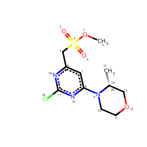 COS(=O)(=O)Cc1cc(N2CCOC[C@H]2C)nc(Cl)n1